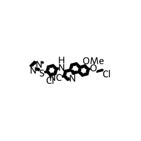 COc1c(OCCCl)ccc2c1ccc1c(Nc3ccc(Sc4nccn4C)c(Cl)c3)c(C#N)cnc12